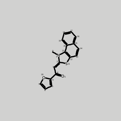 CN1/C(=C/C(=O)c2ccco2)Sc2ccc3ccccc3c21